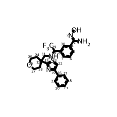 N/C(=N\O)c1cccc(C(NCC2(c3nc(-c4ccccc4)cs3)CCOCC2)C(F)(F)F)c1